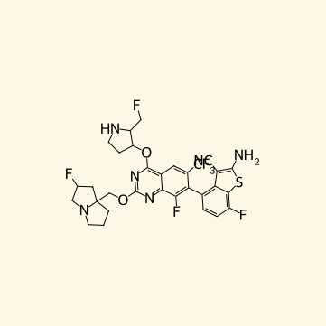 N#Cc1c(N)sc2c(F)ccc(-c3c(C(F)(F)F)cc4c(OC5CCNC5CF)nc(OCC56CCCN5CC(F)C6)nc4c3F)c12